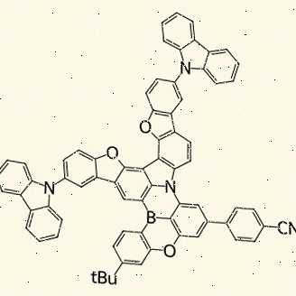 CC(C)(C)c1ccc2c(c1)Oc1cc(-c3ccc(C#N)cc3)cc3c1B2c1cc2c4cc(-n5c6ccccc6c6ccccc65)ccc4oc2c2c4c5oc6ccc(-n7c8ccccc8c8ccccc87)cc6c5ccc4n-3c12